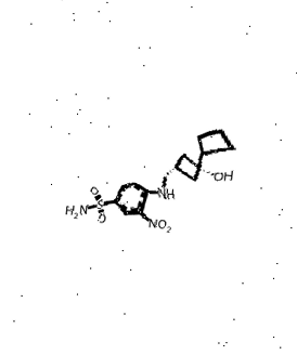 NS(=O)(=O)c1ccc(NC[C@H]2C[C@](O)(C3CCC3)C2)c([N+](=O)[O-])c1